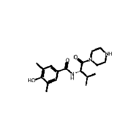 Cc1cc(C(=O)N[C@H](C(=O)N2CCNCC2)C(C)C)cc(C)c1O